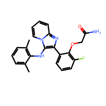 Cc1cccc(C)c1Nc1c(-c2cccc(F)c2OCC(N)=O)nc2ccccn12